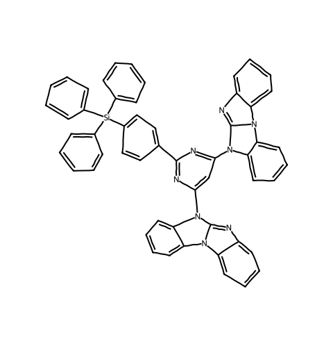 c1ccc([Si](c2ccccc2)(c2ccccc2)c2ccc(-c3nc(-n4c5ccccc5n5c6ccccc6nc45)cc(-n4c5ccccc5n5c6ccccc6nc45)n3)cc2)cc1